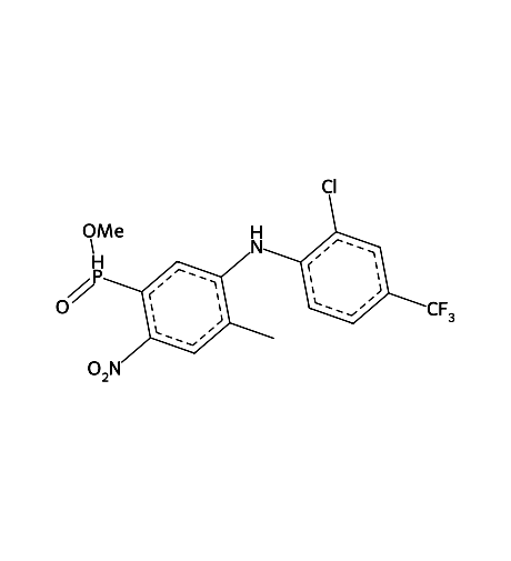 CO[PH](=O)c1cc(Nc2ccc(C(F)(F)F)cc2Cl)c(C)cc1[N+](=O)[O-]